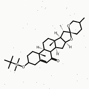 CC1CC[C@@]2(OC1)O[C@H]1C[C@H]3C4C(=O)C=C5CC(O[Si](C)(C)C(C)(C)C)CC[C@]5(C)[C@H]4CC[C@]3(C)[C@H]1[C@@H]2C